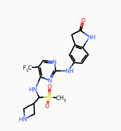 CS(=O)(=O)C(Nc1nc(Nc2ccc3c(c2)CC(=O)N3)ncc1C(F)(F)F)C1CNC1